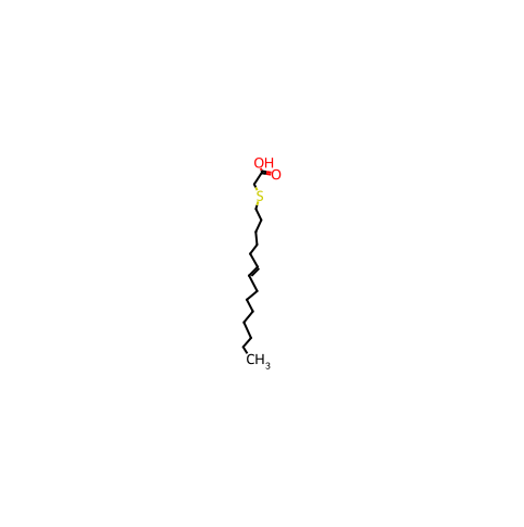 CCCCCCCC=CCCCCCSCC(=O)O